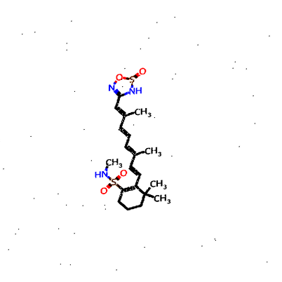 CNS(=O)(=O)C1=C(/C=C/C(C)=C/C=C/C(C)=C/C2=NO[S@@](=O)N2)C(C)(C)CCC1